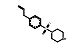 C=C[CH]c1ccc(S(=O)(=O)N2CCNCC2)cc1